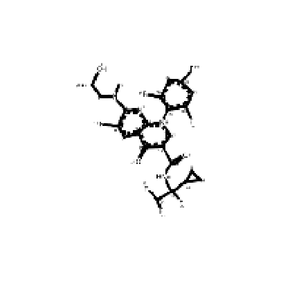 C[C@H](O)CN(C)c1nc2c(cc1F)c(=O)c(C(=O)NC(F)(C(F)F)C1CC1)cn2-c1c(F)cc(F)cc1F